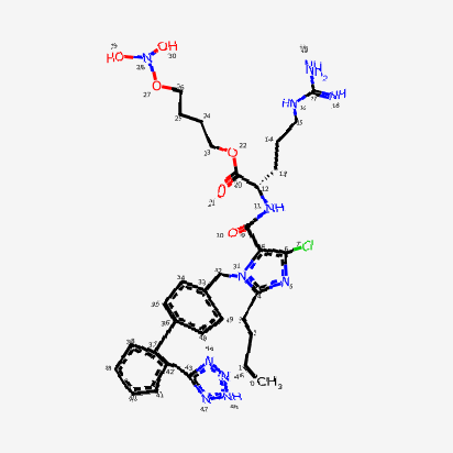 CCCCc1nc(Cl)c(C(=O)N[C@@H](CCCNC(=N)N)C(=O)OCCCCON(O)O)n1Cc1ccc(-c2ccccc2-c2nn[nH]n2)cc1